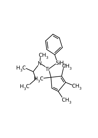 CCC(C)[N](C)[Ti]([SiH2]c1ccccc1)[C]1(C)C=C(C)C(C)=C1C